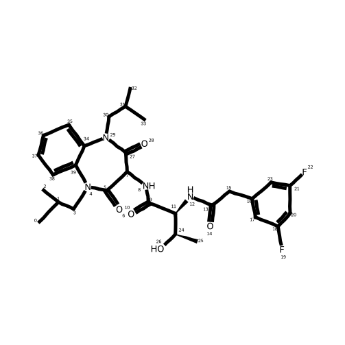 CC(C)CN1C(=O)C(NC(=O)[C@@H](NC(=O)Cc2cc(F)cc(F)c2)[C@@H](C)O)C(=O)N(CC(C)C)c2ccccc21